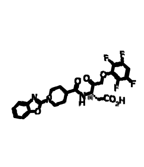 O=C(O)C[C@H](NC(=O)C1CCN(c2nc3ccccc3o2)CC1)C(=O)COc1c(F)c(F)cc(F)c1F